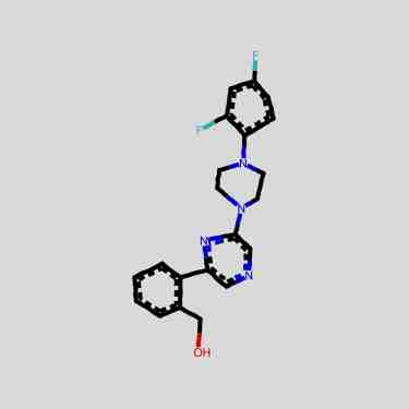 OCc1ccccc1-c1cncc(N2CCN(c3ccc(F)cc3F)CC2)n1